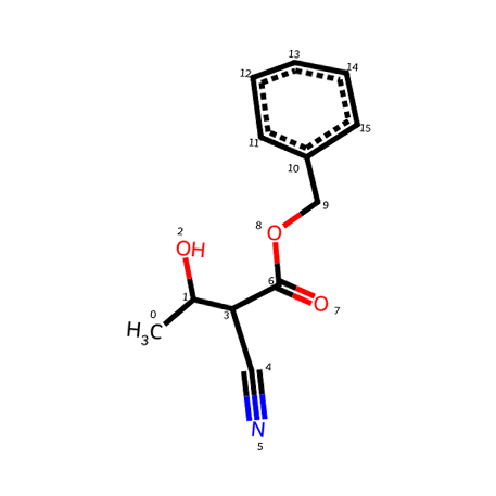 CC(O)C(C#N)C(=O)OCc1ccccc1